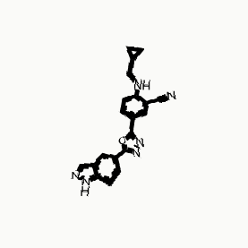 N#Cc1cc(-c2nnc(-c3ccc4[nH]ncc4c3)o2)ccc1NCC1CC1